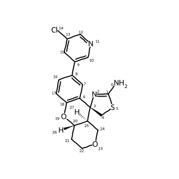 NC1=N[C@@]2(CS1)c1cc(-c3cncc(Cl)c3)ccc1O[C@H]1CCOC[C@@H]12